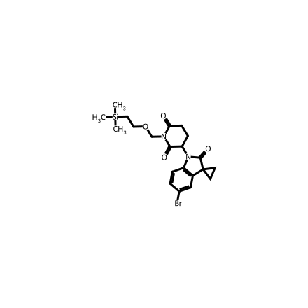 C[Si](C)(C)CCOCN1C(=O)CCC(N2C(=O)C3(CC3)c3cc(Br)ccc32)C1=O